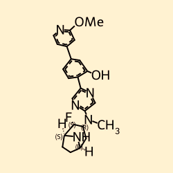 COc1cc(-c2ccc(-c3cnc(N(C)[C@@H]4C[C@H]5CC[C@H](N5)[C@@H]4F)cn3)c(O)c2)ccn1